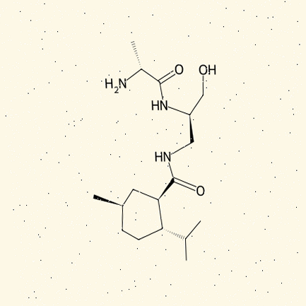 CC(C)[C@@H]1CC[C@@H](C)C[C@H]1C(=O)NC[C@H](CO)NC(=O)[C@@H](C)N